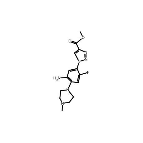 COC(=O)c1cn(-c2cc(N)c(N3CCN(C)CC3)cc2F)nn1